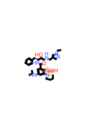 CCn1cc(CNC[C@@H](O)[C@H](Cc2ccccc2)NC(=O)c2cc(NC(C)C)cc(N3CCCCS3(O)O)c2F)cn1